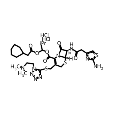 CC(C)C(OC(=O)CC1CCCCC1)OC(=O)C1=C(CSc2nnnn2CCN(C)C)CS[C@H]2[C@H](NC(=O)Cc3csc(N)n3)C(=O)N12.Cl.Cl